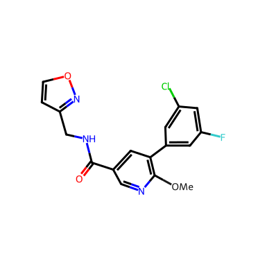 COc1ncc(C(=O)NCc2ccon2)cc1-c1cc(F)cc(Cl)c1